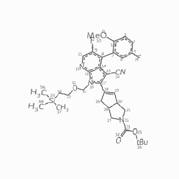 COc1ccc(F)cc1-c1c(F)cnc2c1c(C#N)c(C1=CC3CN(C(=O)OC(C)(C)C)CC3C1)n2COCC[Si](C)(C)C